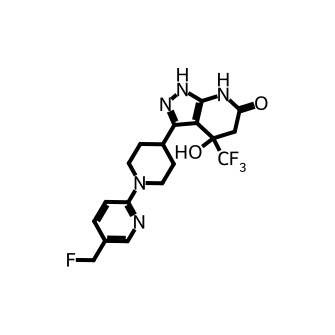 O=C1CC(O)(C(F)(F)F)c2c(C3CCN(c4ccc(CF)cn4)CC3)n[nH]c2N1